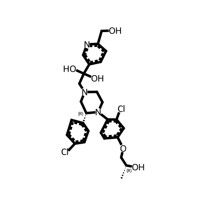 C[C@@H](O)COc1ccc(N2CCN(CC(O)(O)c3ccc(CO)nc3)C[C@H]2c2ccc(Cl)cc2)c(Cl)c1